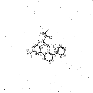 CNC(=O)c1sc2nc(NC)nc(-c3cccc(-c4ccncc4)c3)c2c1N